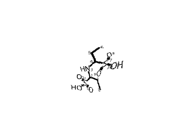 CCC(NC(CC)S(=O)(=O)O)S(=O)(=O)O